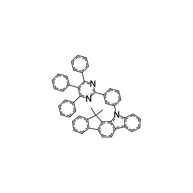 CC1(C)c2ccccc2-c2ccc3c4ccccc4n(-c4cccc(-c5nc(-c6ccccc6)c(-c6ccccc6)c(-c6ccccc6)n5)c4)c3c21